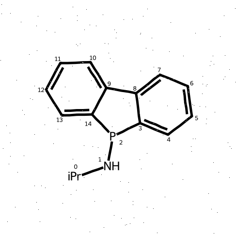 CC(C)Np1c2ccccc2c2ccccc21